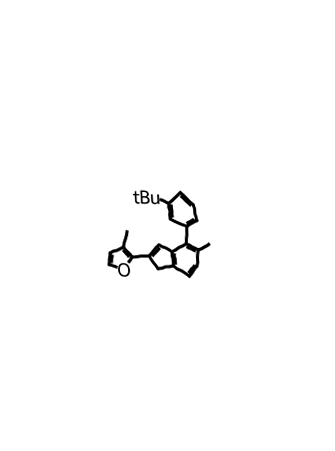 Cc1ccoc1C1=Cc2c(ccc(C)c2-c2cccc(C(C)(C)C)c2)C1